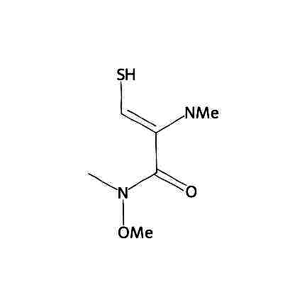 CN/C(=C\S)C(=O)N(C)OC